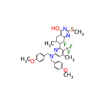 COc1ccc(CN(Cc2ccc(OC)cc2)c2cc(C)c(C(F)(F)F)c(C3Cc4nc(SC)nc(O)c4CC3C)n2)cc1